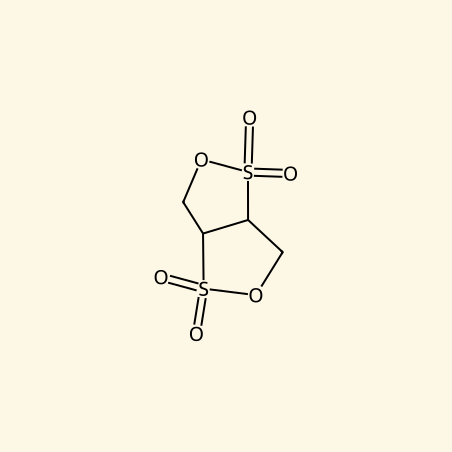 O=S1(=O)OCC2C1COS2(=O)=O